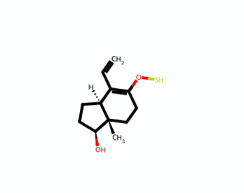 C=CC1=C(OS)CC[C@]2(C)[C@@H](O)CC[C@@H]12